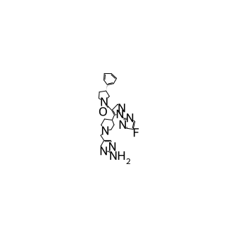 Nc1ncc(CN2CCC(c3c(C(=O)N4CC[C@H](c5ccccc5)C4)cnn3-c3ncc(F)cn3)CC2)cn1